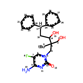 CC(C)(C)C(CO)(Cn1cc(F)c(N)nc1=O)C(O)C[SiH](c1ccccc1)c1ccccc1